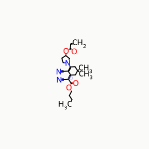 C=CC(=O)OC1CCN(C2=C(C#N)/C(=C(\C#N)C(=O)OCCCC)CC(C)(C)C2)C1